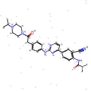 CC(C)C(=O)Nc1ccc(-c2ccnc(Nc3ccc(CC(=O)N4CCN(C(C)C)CC4)cc3)n2)cc1C#N